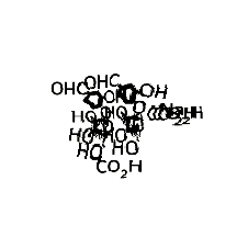 CC(=O)O.CC(=O)O.CC(=O)O.O=Cc1ccc(O[C@@H]2O[C@H](CO)[C@@H](O)[C@H]2O)c(O)c1.O=Cc1ccc(O[C@@H]2O[C@H](CO)[C@@H](O)[C@H]2O)c(O)c1.[Na]